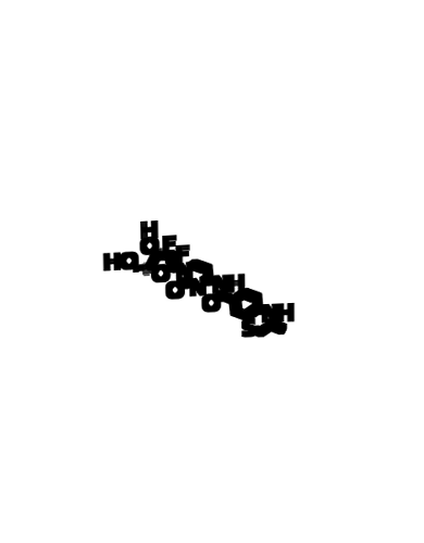 C=C1CSc2cc(C(=O)Nc3ccn(C4O[C@H](CO)[C@@H](O)C4(F)F)c(=O)n3)ccc2N1